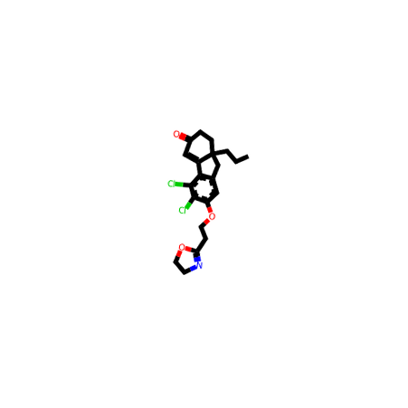 CCCC12CCC(=O)C=C1c1c(cc(OCCC3=NCCO3)c(Cl)c1Cl)C2